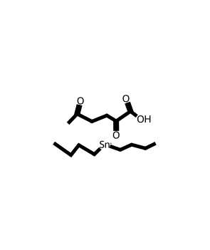 CC(=O)CCC(=O)C(=O)O.CCC[CH2][Sn][CH2]CCC